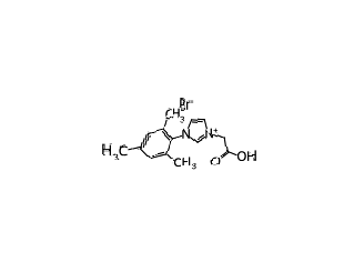 Cc1cc(C)c(-n2cc[n+](CC(=O)O)c2)c(C)c1.[Br-]